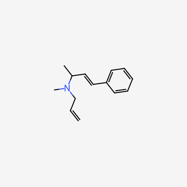 C=CCN(C)C(C)C=Cc1ccccc1